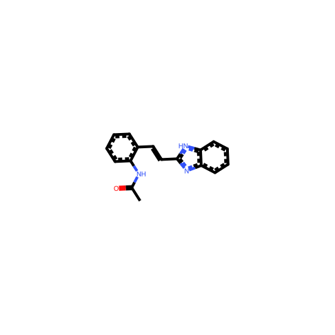 CC(=O)Nc1ccccc1/C=C/c1nc2ccccc2[nH]1